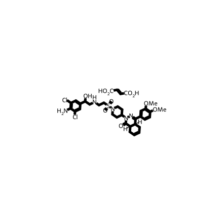 COc1ccc(C2=NN(C3CCN(S(=O)(=O)CCNCC(O)c4cc(Cl)c(N)c(Cl)c4)CC3)C(=O)[C@@H]3CC=CC[C@H]23)cc1OC.O=C(O)C=CC(=O)O